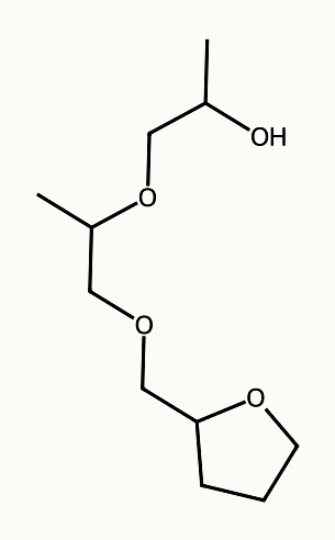 CC(O)COC(C)COCC1CCCO1